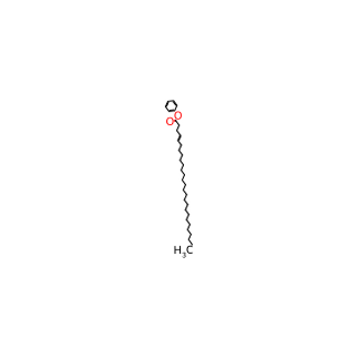 CCCCCCCCCCCCCCCCCCCCCC/C=C/CCC(=O)Oc1ccccc1